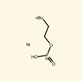 CCCCCCO[PH](=O)O.[Ni]